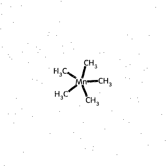 [CH3][Mn]([CH3])([CH3])([CH3])[CH3]